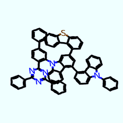 c1ccc(-c2ccc(-c3nc(-c4ccccc4)nc(-c4ccccc4)n3)c(-n3c4ccccc4c4c(-c5cccc6c5c5ccccc5n6-c5ccccc5)cc(-c5cccc6sc7ccccc7c56)cc43)c2)cc1